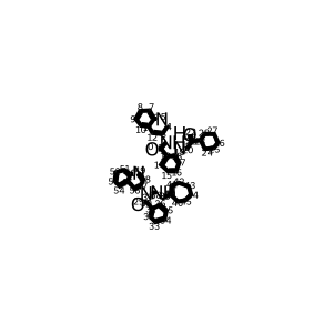 O=C(Nc1cnc2ccccc2c1)c1ccccc1NCC(=O)C1CCCCC1.O=C(c1ccccc1)N(NCC1CCCCCC1)c1cnc2ccccc2c1